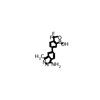 Cc1nnc(N)c2ccc(-c3ccc4c(c3)B(O)OCC4(F)F)cc12